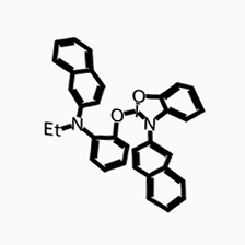 CCN(c1ccc2ccccc2c1)c1ccccc1OI1Oc2ccccc2N1c1ccc2ccccc2c1